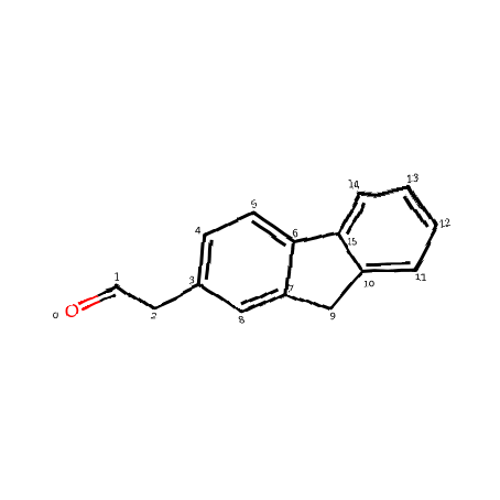 O=CCc1ccc2c(c1)Cc1ccccc1-2